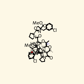 CN[C@@H](C)C(=O)N[C@H](C(=O)N1CCC[C@H]1C1=N[C@@](Cc2cccc(Cl)c2)(C(=O)OC)CO1)[C@@H](C)O/C(C)=C(\C)O[C@H](C)[C@H](NC(=O)[C@H](C)NC)C(=O)N1CCC[C@H]1C1=N[C@@](Cc2cccc(Cl)c2)(C(=O)OC)CO1